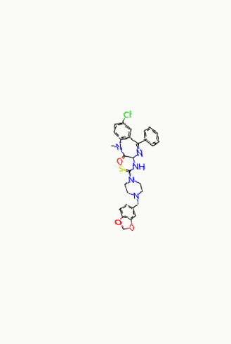 CN1C(=O)C(NC(=S)N2CCN(Cc3ccc4c(c3)OCO4)CC2)N=C(c2ccccc2)c2cc(Cl)ccc21